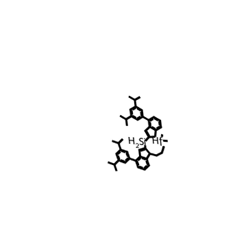 CC(C)c1cc(-c2cccc3c2C=C2[SiH2]C4=Cc5c(-c6cc(C(C)C)cc(C(C)C)c6)cccc5[CH]4[Hf]([CH3])([CH3])[CH2]CCC23)cc(C(C)C)c1